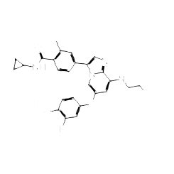 Cc1cc(-c2cnc3c(NCCC(F)(F)F)cc(Oc4ccc(OC(F)(F)F)c(F)c4)cn23)ccc1C(=O)NC1CC1